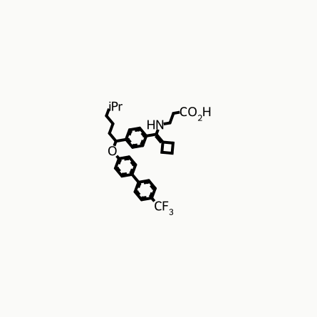 CC(C)CCCC(Oc1ccc(-c2ccc(C(F)(F)F)cc2)cc1)c1ccc(C(NCCC(=O)O)=C2CCC2)cc1